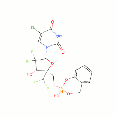 O=c1[nH]c(=O)n([C@@H]2O[C@@](CO[PH]3(O)OCc4ccccc4O3)(C(F)F)[C@H](O)C2(F)F)cc1Cl